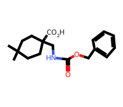 CC1(C)CCC(CNC(=O)OCc2ccccc2)(C(=O)O)CC1